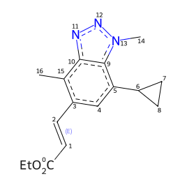 CCOC(=O)/C=C/c1cc(C2CC2)c2c(nnn2C)c1C